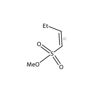 CC/C=C\S(=O)(=O)OC